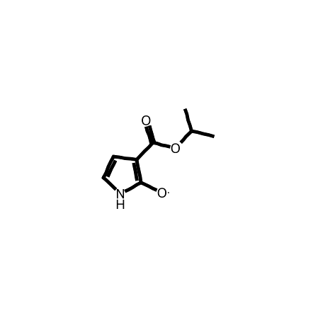 CC(C)OC(=O)c1cc[nH]c1[O]